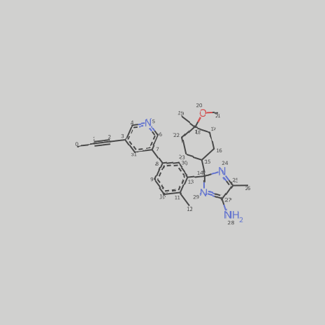 CC#Cc1cncc(-c2ccc(C)c(C3(C4CCC(C)(OC)CC4)N=C(C)C(N)=N3)c2)c1